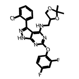 CC1(C)OCC(CNc2nc(Oc3ccc(F)cc3F)nc3[nH]nc(-c4ccccc4Cl)c23)O1